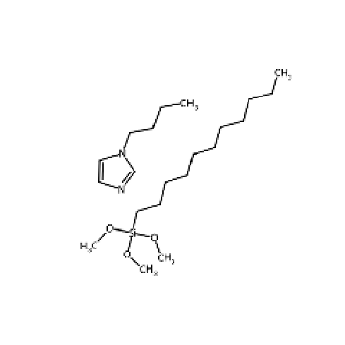 CCCCCCCCCCC[Si](OC)(OC)OC.CCCCn1ccnc1